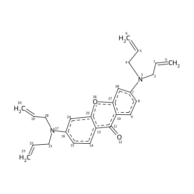 C=CCN(CC=C)c1ccc2c(=O)c3ccc(N(CC=C)CC=C)cc3oc2c1